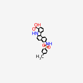 Cc1ccc(S(=O)(=O)Nc2ccc3c(ccc4[nH]c5c(C(=O)O)cccc5c43)c2)cc1